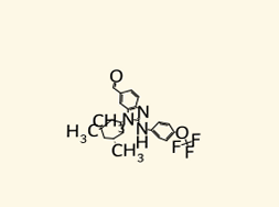 C[C@H]1C[C@@H](n2c(Nc3ccc(OC(F)(F)F)cc3)nc3ccc(C=O)cc32)CC(C)(C)C1